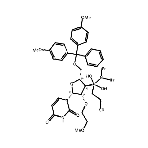 COCCO[C@H]1[C@H](P(O)(O)(CCC#N)N(C(C)C)C(C)C)[C@@H](COC(c2ccccc2)(c2ccc(OC)cc2)c2ccc(OC)cc2)O[C@H]1n1ccc(=O)[nH]c1=O